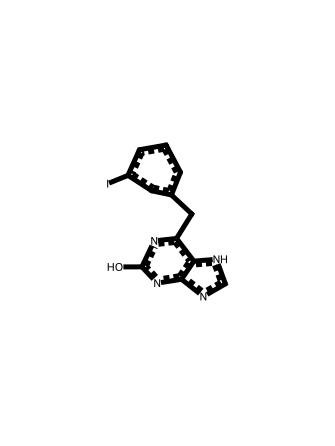 Oc1nc(Cc2cccc(I)c2)c2[nH]cnc2n1